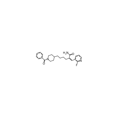 NC(=O)C(=Cc1cccnc1F)CCCCC1CCN(C(=O)c2ccccc2)CC1